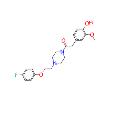 COc1cc(CC(=O)N2CCN(CCOc3ccc(F)cc3)CC2)ccc1O